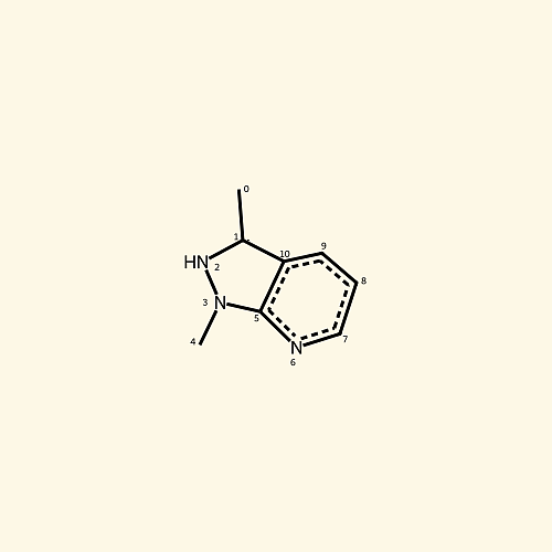 C[C]1NN(C)c2ncccc21